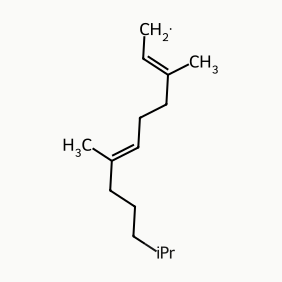 [CH2]C=C(C)CCC=C(C)CCCC(C)C